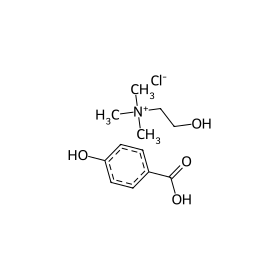 C[N+](C)(C)CCO.O=C(O)c1ccc(O)cc1.[Cl-]